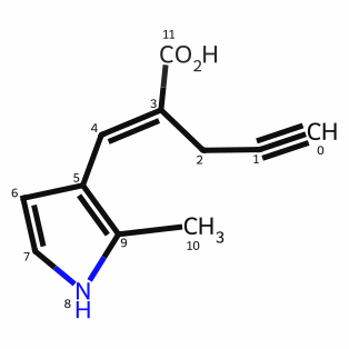 C#CC/C(=C\c1cc[nH]c1C)C(=O)O